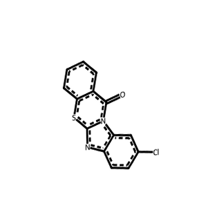 O=c1c2ccccc2sc2nc3ccc(Cl)cc3n12